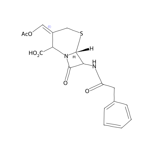 CC(=O)O/C=C1/CS[C@@H]2C(NC(=O)Cc3ccccc3)C(=O)N2C1C(=O)O